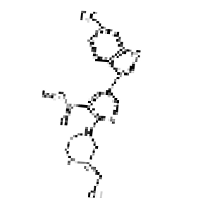 COC(=O)c1cc(-c2csc3cc(C(F)(F)F)ccc23)ccc1N1CCO[C@H](CO)C1